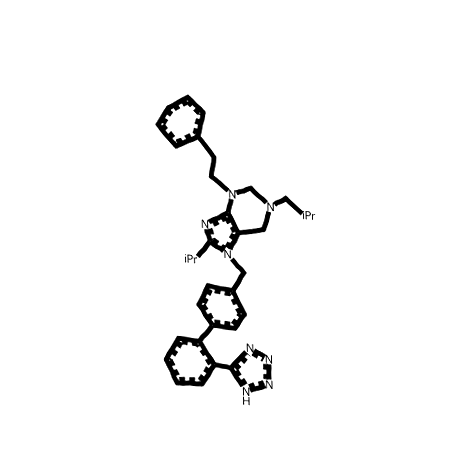 CC(C)CN1Cc2c(nc(C(C)C)n2Cc2ccc(-c3ccccc3-c3nnn[nH]3)cc2)N(CCc2ccccc2)C1